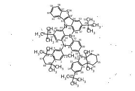 Cc1cc2c(cc1N1c3cc(N4c5ccc(C(C)(C)C)cc5C5(C)CCCCC45C)ccc3B3c4c1cc(C(C)(C)C)cc4-n1c4c3cc(C(C)(C)C)cc4c3sc4ccccc4c31)C(C)(C)CCC2(C)C